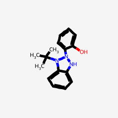 CC(C)(C)N1c2ccccc2NN1c1c[c]ccc1O